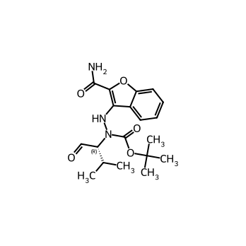 CC(C)[C@H](C=O)N(Nc1c(C(N)=O)oc2ccccc12)C(=O)OC(C)(C)C